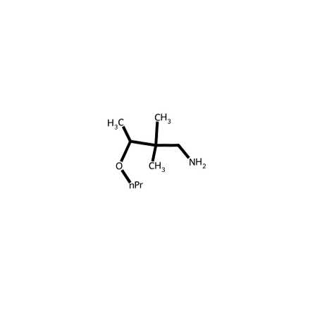 CCCOC(C)C(C)(C)CN